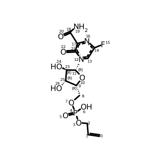 C=CCOP(=O)(O)OC[C@H]1O[C@@H](n2cc(F)nc(C(N)=O)c2=O)[C@H](O)[C@H]1O